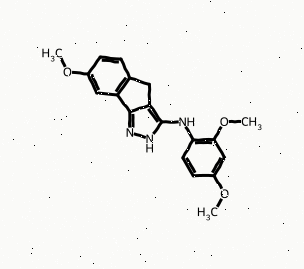 COc1ccc(Nc2[nH]nc3c2Cc2ccc(OC)cc2-3)c(OC)c1